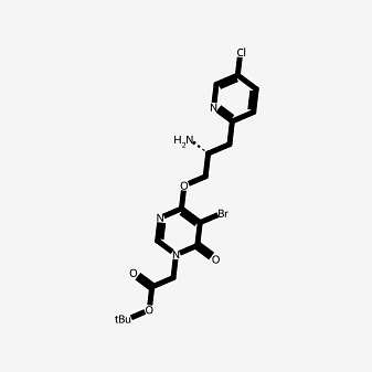 CC(C)(C)OC(=O)Cn1cnc(OC[C@H](N)Cc2ccc(Cl)cn2)c(Br)c1=O